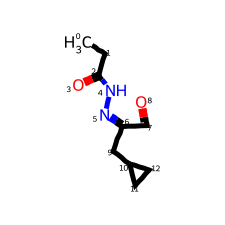 CCC(=O)N/N=C(\C=O)CC1CC1